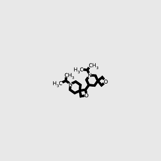 CC(C)N1CCC2(CC1)COC2C1CN(C(C)C)CC2(COC2)C1